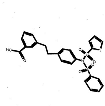 O=C(O)c1cccc(CCc2ccc(N(S(=O)(=O)c3ccccc3)S(=O)(=O)c3cccs3)cc2)c1